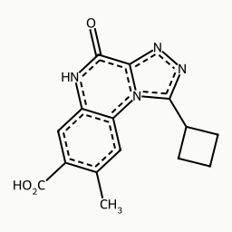 Cc1cc2c(cc1C(=O)O)[nH]c(=O)c1nnc(C3CCC3)n12